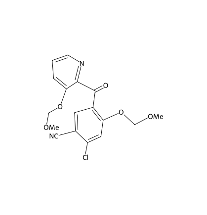 COCOc1cc(Cl)c(C#N)cc1C(=O)c1ncccc1OCOC